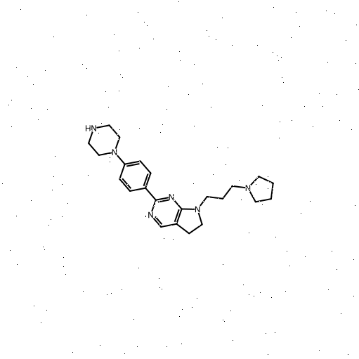 c1cc(N2CCNCC2)ccc1-c1ncc2c(n1)N(CCCN1CCCC1)CC2